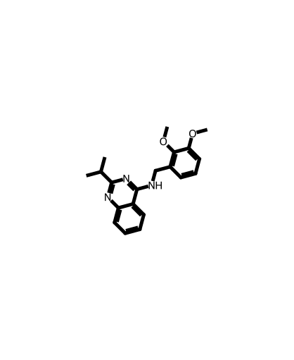 COc1cccc(CNc2nc(C(C)C)nc3ccccc23)c1OC